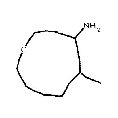 CC1CCCCCCCC(N)C1